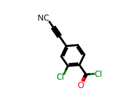 N#CC#Cc1ccc(C(=O)Cl)c(Cl)c1